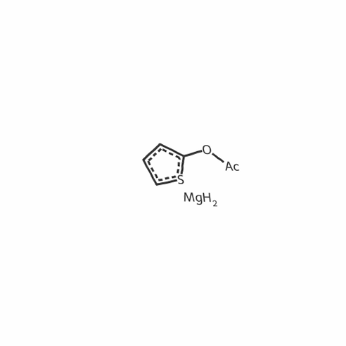 CC(=O)Oc1cccs1.[MgH2]